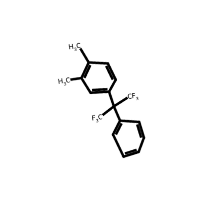 Cc1ccc(C(c2ccccc2)(C(F)(F)F)C(F)(F)F)cc1C